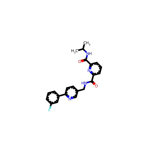 CC(C)NC(=O)c1cccc(C(=O)NCc2ccc(-c3cccc(F)c3)nc2)n1